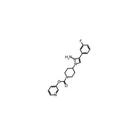 Nn1c(-c2cccc(F)c2)cn1C1CCN(C(=O)Oc2cccnc2)CC1